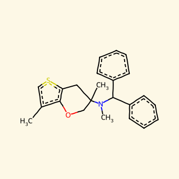 Cc1csc2c1OCC(C)(N(C)C(c1ccccc1)c1ccccc1)C2